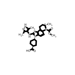 COC(=O)N1c2ccc3c(nc(Nc4c(C)n[nH]c4C)n3[C@H]3CC[C@H](C(=O)O)CC3)c2CC[C@@H]1C